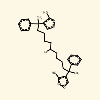 CC(CCCCC(O)CCCCC(C)(c1ccccc1)c1conc1O)(c1ccccc1)c1conc1O